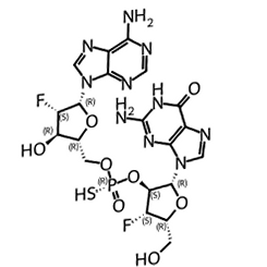 Nc1nc2c(ncn2[C@@H]2O[C@H](CO)[C@H](F)[C@H]2O[P@](=O)(S)OC[C@H]2O[C@@H](n3cnc4c(N)ncnc43)[C@@H](F)[C@@H]2O)c(=O)[nH]1